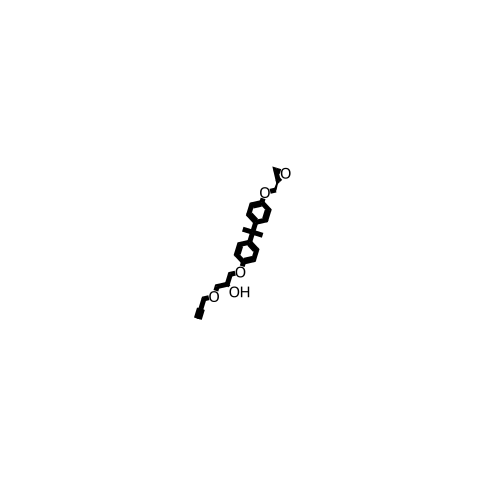 C#CCOC[C@H](O)COc1ccc(C(C)(C)c2ccc(OC[C@H]3CO3)cc2)cc1